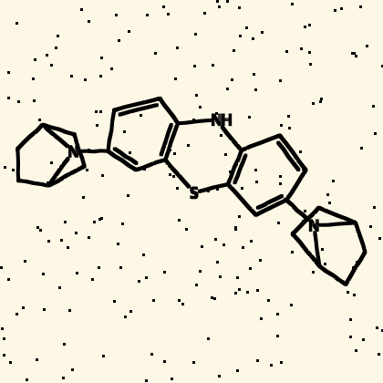 c1cc2c(cc1N1C3CCC1CC3)Sc1cc(N3C4CCC3CC4)ccc1N2